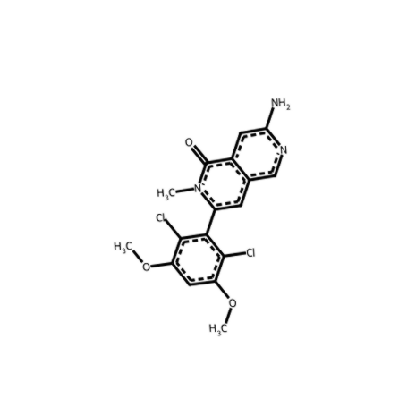 COc1cc(OC)c(Cl)c(-c2cc3cnc(N)cc3c(=O)n2C)c1Cl